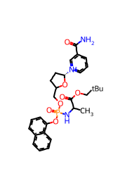 CC(NP(=O)(OCC1CC[C@H]([n+]2cccc(C(N)=O)c2)O1)Oc1cccc2ccccc12)C(=O)OCC(C)(C)C